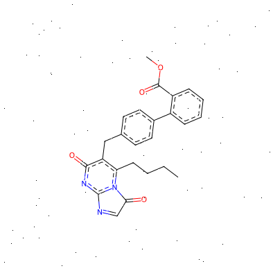 CCCCc1c(Cc2ccc(-c3ccccc3C(=O)OC)cc2)c(=O)nc2n1C(=O)C=N2